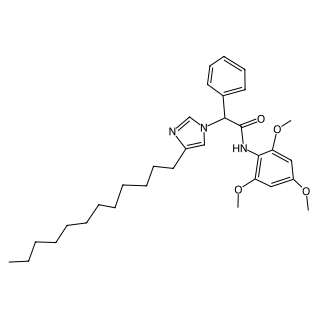 CCCCCCCCCCCCc1cn(C(C(=O)Nc2c(OC)cc(OC)cc2OC)c2ccccc2)cn1